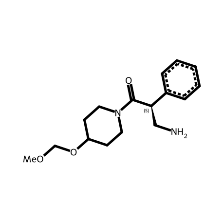 COCOC1CCN(C(=O)[C@H](CN)c2ccccc2)CC1